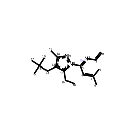 C=C/N=C(\C=C(C)C)n1nc(C)c(CC(C)(C)C)c1CC